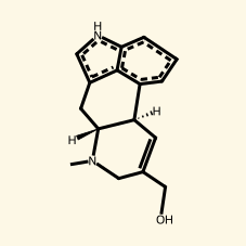 CN1CC(CO)=C[C@@H]2c3cccc4[nH]cc(c34)C[C@H]21